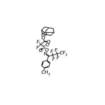 Cc1ccc(/C(=N/OS(=O)(=O)C(F)(F)C(=O)OC23CC4CC(C2)C(=O)C(C4)C3)C(F)(F)C(F)(F)C(F)(F)F)cc1